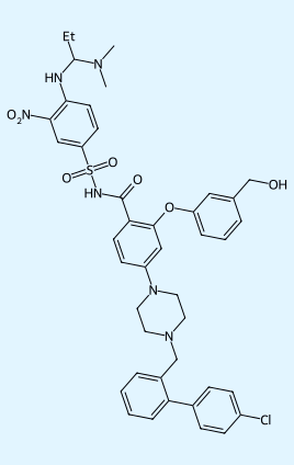 CCC(Nc1ccc(S(=O)(=O)NC(=O)c2ccc(N3CCN(Cc4ccccc4-c4ccc(Cl)cc4)CC3)cc2Oc2cccc(CO)c2)cc1[N+](=O)[O-])N(C)C